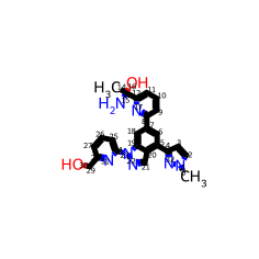 Cn1ccc(-c2cc(-c3cccc(C(C)(N)O)n3)cc3c2cnn3-c2cccc(CO)n2)n1